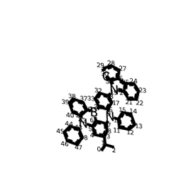 CC(C)c1cc2c3c(c1)N(c1ccccc1)c1cc(-n4c5ccccc5c5ccccc54)ccc1B3c1ccccc1N2c1ccccc1